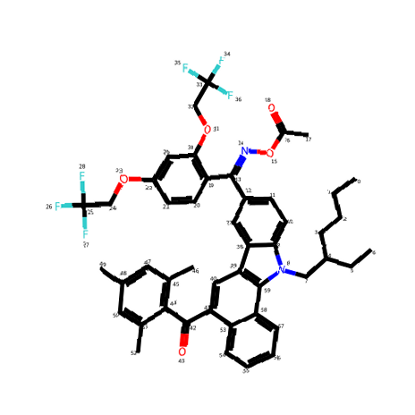 CCCCC(CC)Cn1c2ccc(/C(=N\OC(C)=O)c3ccc(OCC(F)(F)F)cc3OCC(F)(F)F)cc2c2cc(C(=O)c3c(C)cc(C)cc3C)c3ccccc3c21